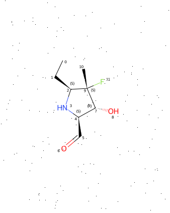 CC[C@@H]1N[C@H](C=O)[C@@H](O)[C@@]1(C)F